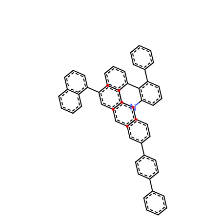 c1ccc(-c2ccc(-c3ccc(N(c4ccc(-c5cccc6ccccc56)cc4)c4cccc(-c5ccccc5)c4-c4ccccc4-c4ccccc4)cc3)cc2)cc1